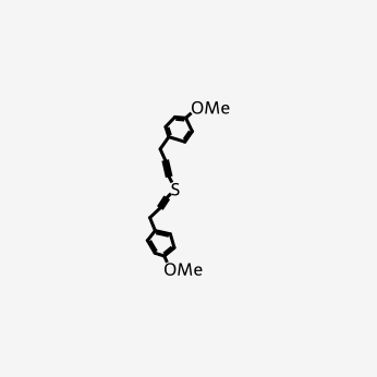 COc1ccc(CC#CSC#CCc2ccc(OC)cc2)cc1